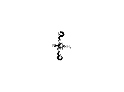 N#Cc1c(SCCc2ccccn2)nc(N)nc1SCCc1ccccn1